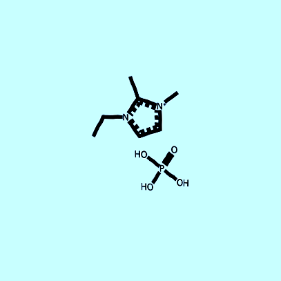 CCn1cc[n+](C)c1C.O=P(O)(O)O